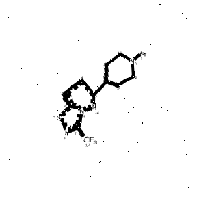 CC(C)N1CCC(c2ccc3nnc(C(F)(F)F)n3n2)CC1